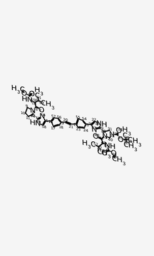 COC(=O)N[C@H](C(=O)N1CCC[C@H]1c1nc(-c2ccc(C#Cc3ccc(-c4c[nH]c([C@@H]5CN(C(=O)OC(C)(C)C)CN5C(=O)[C@@H](NC(=O)OC)C(C)C)n4)cc3)cc2)c[nH]1)C(C)C